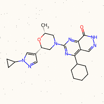 C[C@@H]1CN(c2nc(C3CCCCC3)c3cn[nH]c(=O)c3n2)C[C@H](c2cnn(C3CC3)c2)O1